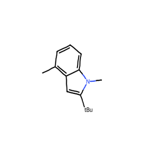 Cc1cccc2c1cc(C(C)(C)C)n2C